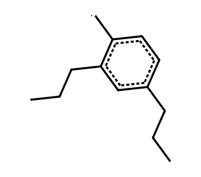 [CH2]c1ccc(CCC)cc1CCC